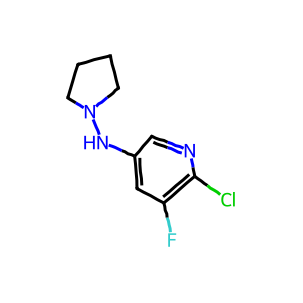 Fc1cc(NN2CCCC2)cnc1Cl